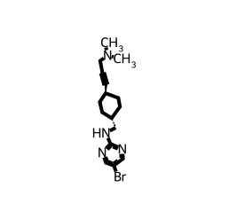 CN(C)CC#C[C@H]1CC[C@H](CNc2ncc(Br)cn2)CC1